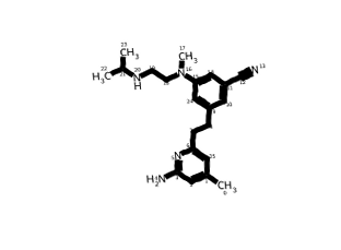 Cc1cc(N)nc(CCc2cc(C#N)cc(N(C)CCNC(C)C)c2)c1